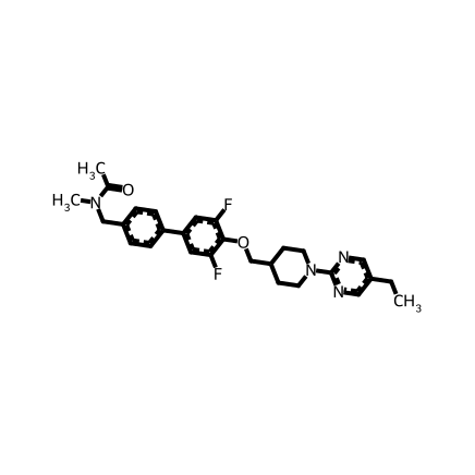 CCc1cnc(N2CCC(COc3c(F)cc(-c4ccc(CN(C)C(C)=O)cc4)cc3F)CC2)nc1